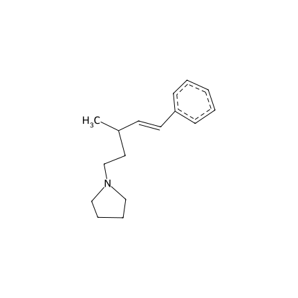 CC(/C=C/c1ccccc1)CCN1CCCC1